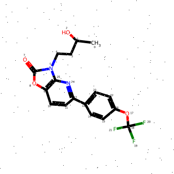 CC(O)CCn1c(=O)oc2ccc(-c3ccc(OC(F)(F)F)cc3)nc21